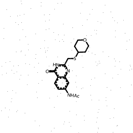 CC(=O)Nc1ccc2c(=O)[nH]c(CSC3CCOCC3)nc2c1